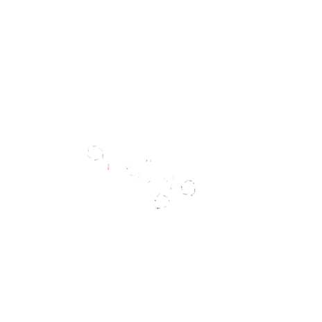 O=C(C[N+]12CCC(CC1)[C@@H](OC(=O)C(NS(=O)(=O)c1ccc(Cl)cc1)c1ccccc1)C2)c1ccccc1.[Br-]